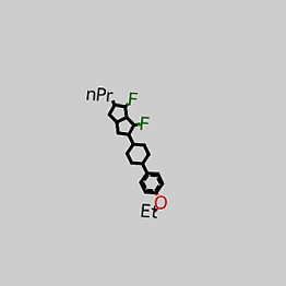 CCCC1CC2CC(C3CCC(c4ccc(OCC)cc4)CC3)C(F)C2C1F